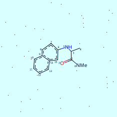 CNC(=O)C(C)Nc1ccc2ccccc2c1